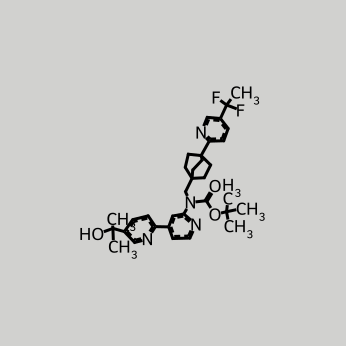 CC(C)(C)OC(=O)N(CC12CCC(c3ccc(C(C)(F)F)cn3)(CC1)CC2)c1cc(-c2ccc(C(C)(C)O)cn2)ccn1